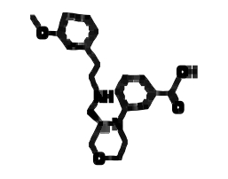 COc1cccc(CCNC[C@@H]2COCCN2c2cccc(C(=O)O)c2)c1